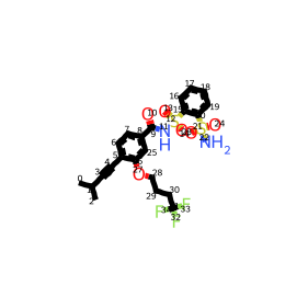 CC(C)C#Cc1ccc(C(=O)NS(=O)(=O)c2ccccc2S(N)(=O)=O)cc1OCCCC(F)(F)F